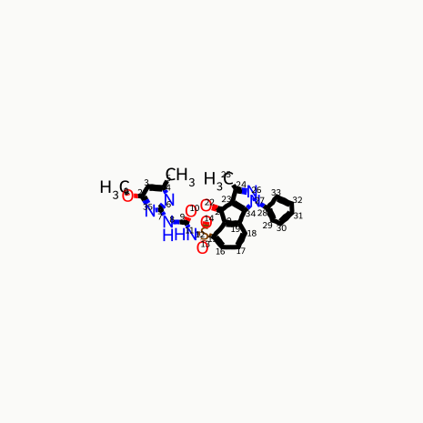 COc1cc(C)nc(NC(=O)NS(=O)(=O)c2cccc3c2C(=O)c2c(C)nn(-c4ccccc4)c2-3)n1